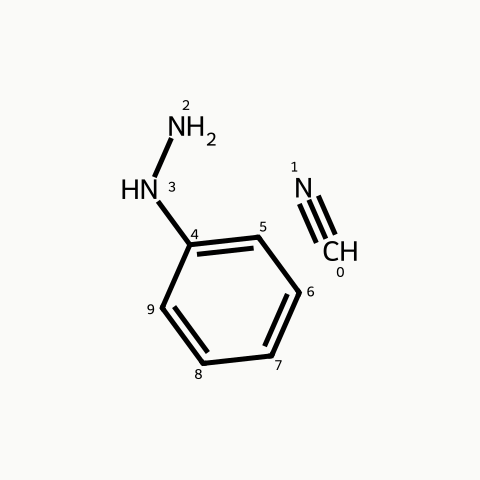 C#N.NNc1ccccc1